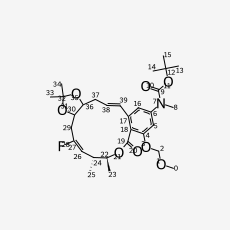 COCOc1cc(N(C)C(=O)OC(C)(C)C)cc2c1C(=O)O[C@@H](C)[C@H](C)/C=C(/F)CC1OC(C)(C)OC1C/C=C/2